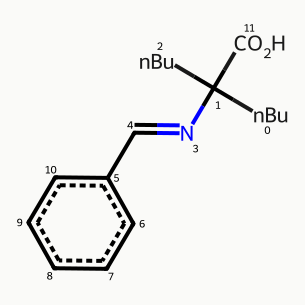 CCCCC(CCCC)(/N=C/c1ccccc1)C(=O)O